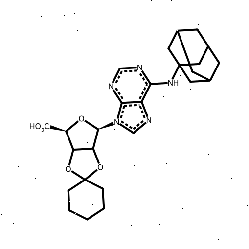 O=C(O)[C@H]1O[C@@H](n2cnc3c(NC45CC6CC(CC(C6)C4)C5)ncnc32)C2OC3(CCCCC3)OC21